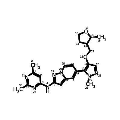 Cc1cc(Nc2cc3cc(-c4c(OCC5CCO[C@H]5C)cnn4C)ccn3n2)nc(C)n1